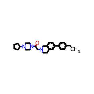 CCc1ccc(-c2ccc3c(c2)CCN(CC(=O)N2CCN(C4CCCC4)CC2)C3)cc1